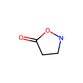 O=C1CC[N]O1